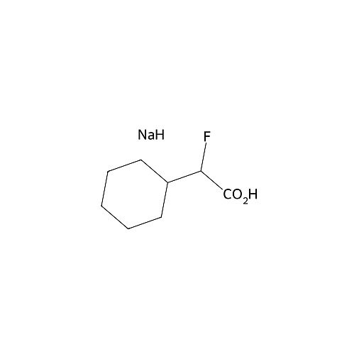 O=C(O)C(F)C1CCCCC1.[NaH]